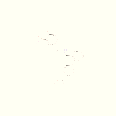 COC(=O)c1ccc(-c2ccccc2CNC(=O)c2cc(Cl)c(O)c([S+](N)[O-])c2)c(F)c1